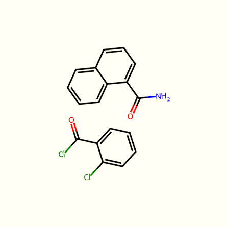 NC(=O)c1cccc2ccccc12.O=C(Cl)c1ccccc1Cl